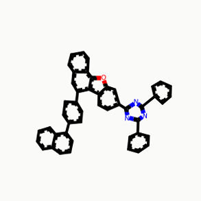 c1ccc(-c2nc(-c3ccccc3)nc(-c3ccc4c(c3)oc3c5ccccc5cc(-c5ccc(-c6cccc7ccccc67)cc5)c43)n2)cc1